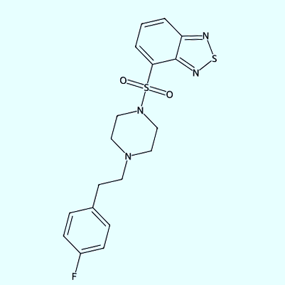 O=S(=O)(c1cccc2nsnc12)N1CCN(CCc2ccc(F)cc2)CC1